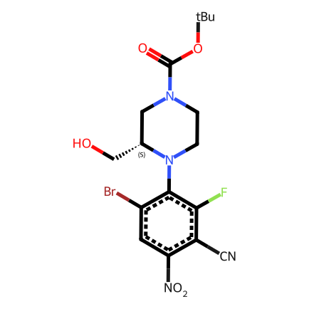 CC(C)(C)OC(=O)N1CCN(c2c(Br)cc([N+](=O)[O-])c(C#N)c2F)[C@H](CO)C1